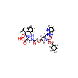 CC(C)C(C(=O)N[C@@H](CNC(=O)CO[C@@H]1C[C@@H](CNc2ccccn2)N(C(=O)OCc2ccccc2)C1)C(=O)O)c1ccccc1